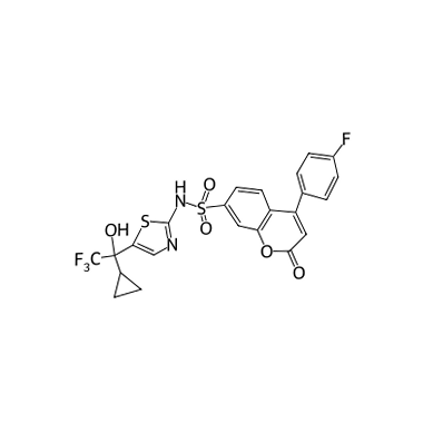 O=c1cc(-c2ccc(F)cc2)c2ccc(S(=O)(=O)Nc3ncc(C(O)(C4CC4)C(F)(F)F)s3)cc2o1